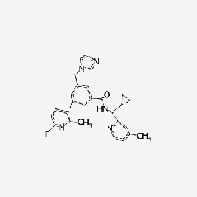 Cc1ccnc(C(NC(=O)c2cc(Cn3ccnc3)cc(-c3ccc(F)nc3C)c2)C2CC2)c1